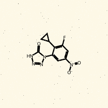 O=c1[nH]nnn1-c1cc([N+](=O)[O-])cc(F)c1C1CC1